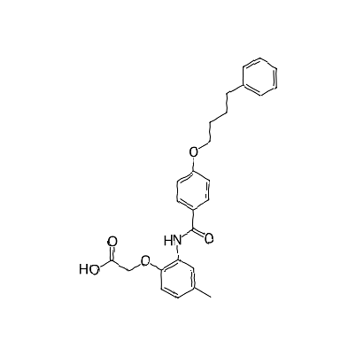 Cc1ccc(OCC(=O)O)c(NC(=O)c2ccc(OCCCCc3ccccc3)cc2)c1